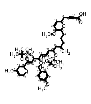 C=C(CCCC1OC(CC#CC(=O)O)C=CC1OC)CC(C=CCC(OCc1ccc(OC)cc1)C(C=CC1CC(C)=CCO1)O[Si](C)(C)C(C)(C)C)O[Si](C)(C)C(C)(C)C